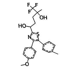 COc1ccc(-c2nc(C(O)CCC(C)(O)C(F)(F)F)sc2-c2ccc(C)cc2)cc1